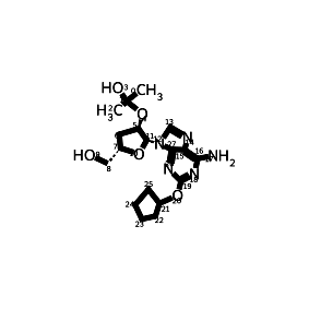 CC(C)(O)O[C@@H]1C[C@@H](CO)O[C@H]1n1cnc2c(N)nc(OC3CCCC3)nc21